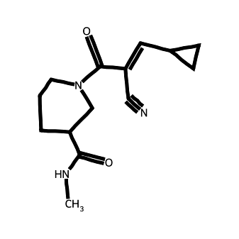 CNC(=O)C1CCCN(C(=O)C(C#N)=CC2CC2)C1